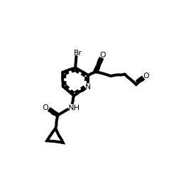 O=CCCC(=O)c1nc(NC(=O)C2CC2)ccc1Br